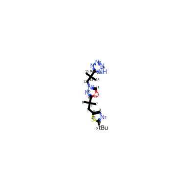 CC(C)(C)c1ncc(CC(C)(C)c2n[n+](CC(C)(C)c3nnn[nH]3)co2)s1